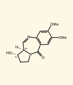 COc1cc2c(cc1OC)C(=O)N1CC[C@H](O)[C@H]1C=N2